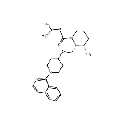 CC(C)OC(=O)N1CCC[C@H](N)[C@@H]1COC1CCN(c2nccc3ccccc23)CC1